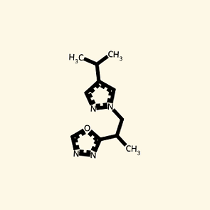 CC(C)c1cnn(CC(C)c2nnco2)c1